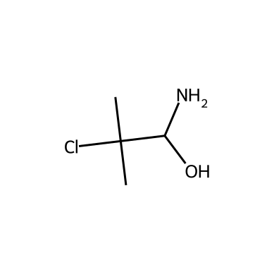 CC(C)(Cl)C(N)O